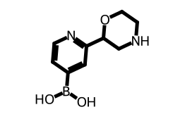 OB(O)c1ccnc(C2CNCCO2)c1